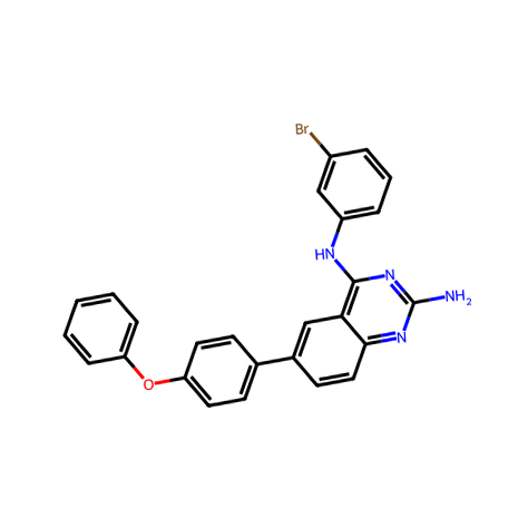 Nc1nc(Nc2cccc(Br)c2)c2cc(-c3ccc(Oc4ccccc4)cc3)ccc2n1